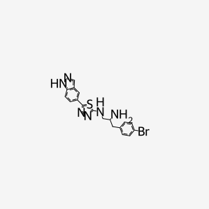 NC(CNc1nnc(-c2ccc3[nH]ncc3c2)s1)Cc1ccc(Br)cc1